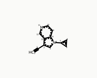 C#Cc1cn(C2=C=C2)c2ccncc12